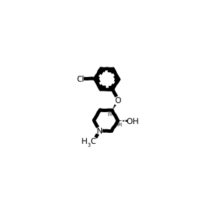 CN1CC[C@H](Oc2cccc(Cl)c2)[C@H](O)C1